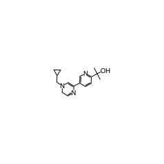 CC(C)(O)c1ccc(C2=CN(CC3CC3)CC=N2)cn1